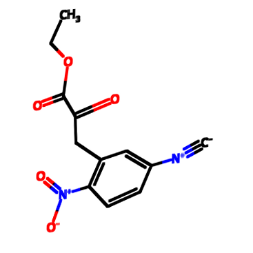 [C-]#[N+]c1ccc([N+](=O)[O-])c(CC(=O)C(=O)OCC)c1